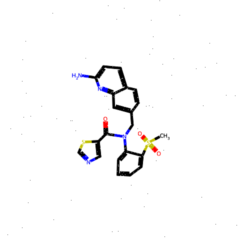 CS(=O)(=O)c1ccccc1N(Cc1ccc2ccc(N)nc2c1)C(=O)c1cncs1